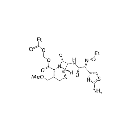 CCON=C(C(=O)NC1C(=O)N2C(C(=O)OCOC(=O)CC)=C(COC)CS[C@@H]12)c1csc(N)n1